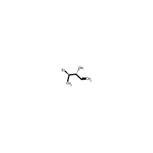 C=C[C@@H](O)[C@@H](C)CC